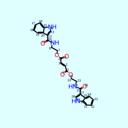 O=C(/C=C/C(=O)OCCNC(=O)c1c[nH]c2ccccc12)OCCNC(=O)c1c[nH]c2ccccc12